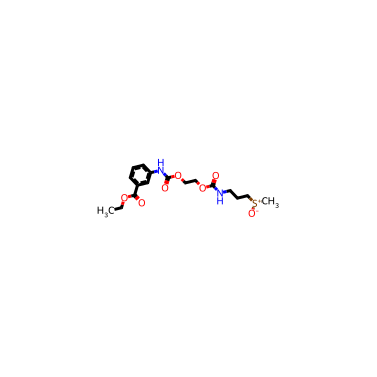 CCOC(=O)c1cccc(NC(=O)OCCOC(=O)NCCC[S+](C)[O-])c1